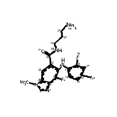 Cn1cnc2c(F)c(Nc3ccc(I)cc3F)c(C(=O)NCCCN)cc21